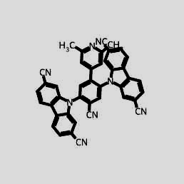 Cc1cc(-c2cc(-n3c4cc(C#N)ccc4c4ccc(C#N)cc43)c(C#N)cc2-n2c3cc(C#N)ccc3c3ccc(C#N)cc32)cc(C)n1